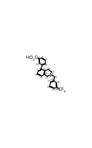 O=C(O)c1cccc(-c2cccc3c2CCN(Cc2cccc(C(F)(F)F)c2)C3)c1